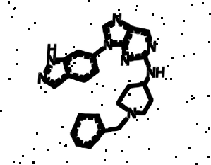 c1ccc(CN2CCC(Nc3ncc4ncn(-c5ccc6cn[nH]c6c5)c4n3)CC2)cc1